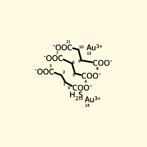 O=C([O-])CCC(=O)[O-].O=C([O-])CCC(=O)[O-].O=C([O-])CCC(=O)[O-].S.[Au+3].[Au+3]